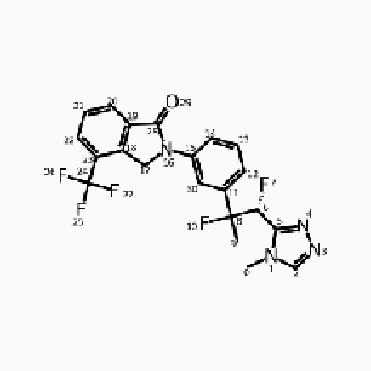 Cn1cnnc1[C@@H](F)C(C)(F)c1cccc(N2Cc3c(cccc3C(F)(F)F)C2=O)c1